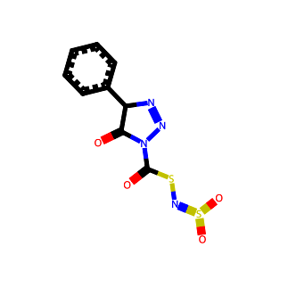 O=C(SN=S(=O)=O)N1N=NC(c2ccccc2)C1=O